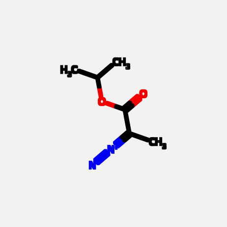 CC(=[N+]=[N-])C(=O)OC(C)C